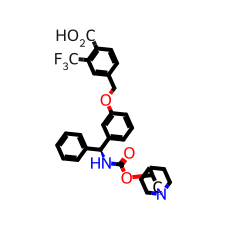 O=C(N[C@@H](c1ccccc1)c1cccc(OCc2ccc(C(=O)O)c(C(F)(F)F)c2)c1)OC1CN2CCC1CC2